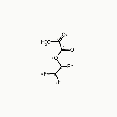 CC(=O)C(=O)OC(F)C(F)F